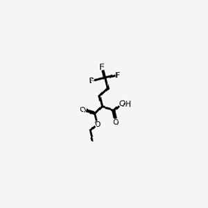 CCOC(=O)C(CCC(F)(F)F)C(=O)O